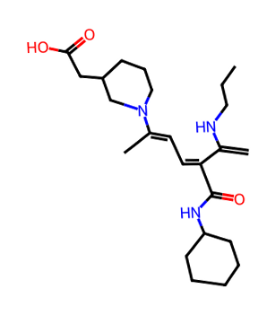 C=C(NCCC)/C(=C\C=C(/C)N1CCCC(CC(=O)O)C1)C(=O)NC1CCCCC1